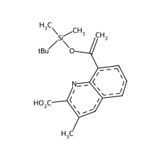 C=C(O[Si](C)(C)C(C)(C)C)c1cccc2cc(C)c(C(=O)O)nc12